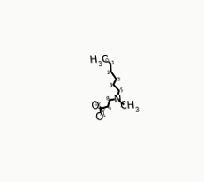 CCCCCCN(C)CCC([O])=O